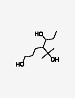 CCC(O)C(CCCO)C(C)(C)O